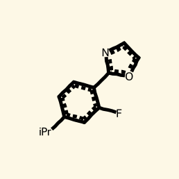 CC(C)c1ccc(-c2ncco2)c(F)c1